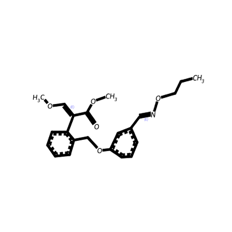 CCCO/N=C/c1cccc(OCc2ccccc2/C(=C\OC)C(=O)OC)c1